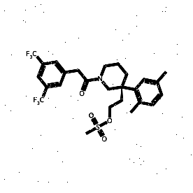 Cc1ccc(C)c([C@@]2(CCOS(C)(=O)=O)CCCN(C(=O)Cc3cc(C(F)(F)F)cc(C(F)(F)F)c3)C2)c1